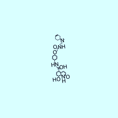 CN(CCNC(=O)COc1ccc(CNC[C@H](O)c2ccc(O)c3[nH]c(=O)ccc23)cc1)C1CC#CCC1